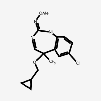 CON=C1N=CC(OCC2CC2)(C(F)(F)F)c2cc(Cl)ccc2N1